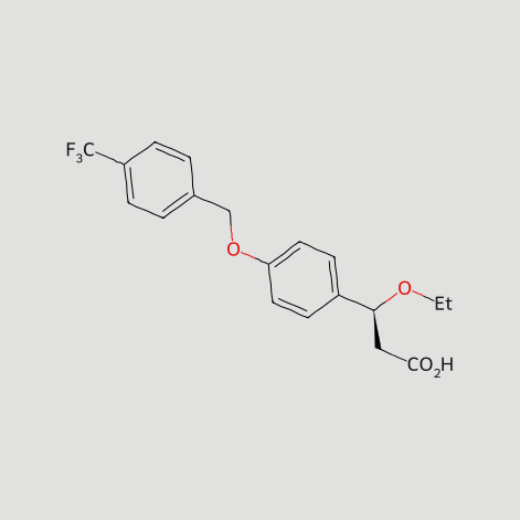 CCO[C@@H](CC(=O)O)c1ccc(OCc2ccc(C(F)(F)F)cc2)cc1